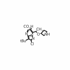 C[C@H](O[C@@H]1CCNC1)c1c(C(=O)O)cnc2c(C(C)(C)C)c(Cl)nn12